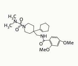 COc1ccc(C(=O)NCC2(C3=CCCCC3)CCN(S(=O)(=O)N(C)C)CC2)c(OC)c1